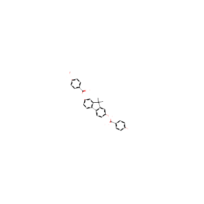 COc1ccc(C(=O)Oc2ccc3c(c2)C(C)(C)c2cc(OC(=O)c4ccc(O)cc4)ccc2-3)cc1